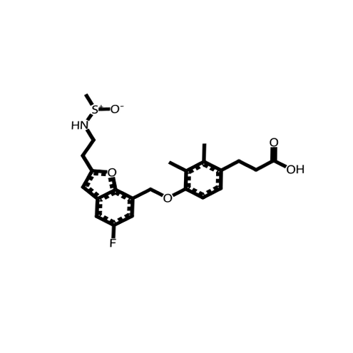 Cc1c(CCC(=O)O)ccc(OCc2cc(F)cc3cc(CCN[S+](C)[O-])oc23)c1C